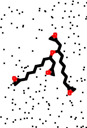 C(CCCC(CC1CO1)OC(CCCCCCC1CO1)CC1CO1)CCC1CO1